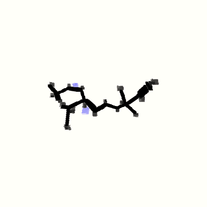 C=C(C)/C=C\C(=C/CCC(C)(C)C#N)C(C)C